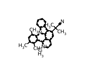 Cc1cc(C)c2c(c1C)c1c3c(cc[n+]1C)cc(C(C)(C)C#N)c1c4ccccc4n2c13